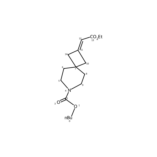 CCCCOC(=O)N1CCC2(CC1)CC(=CC(=O)OCC)C2